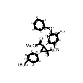 COC(=O)[C@]1(c2nc(Oc3ccccc3)c(F)cc2C#N)[C@@H](c2ccc(C(C)(C)C)cc2)C1(C)C